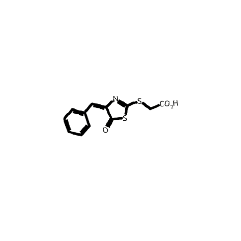 O=C(O)CSC1=NC(=Cc2ccccc2)C(=O)S1